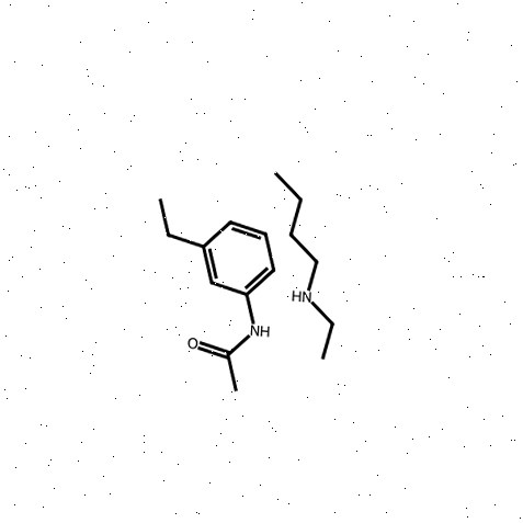 CCCCNCC.CCc1cccc(NC(C)=O)c1